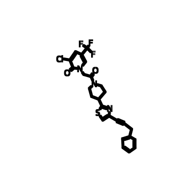 O=C(Cn1cc(C(F)(F)F)cc(Cl)c1=O)N1CCC(c2nc(C#CCc3ccccc3)cs2)CC1